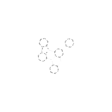 c1ccc(-c2cc3c4c(c2)-n2c5ccccc5c5cccc(c52)B4c2ccccc2O3)cc1